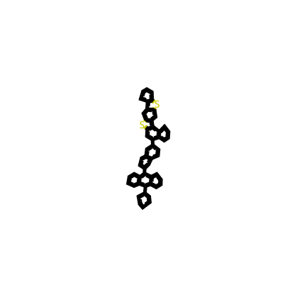 c1ccc(-c2c3ccccc3c(-c3ccc4cc(-c5cc6sc7cc8c(cc7c6c6ccccc56)sc5ccccc58)ccc4c3)c3ccccc23)cc1